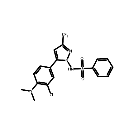 CN(C)c1ccc(-c2cc(C(F)(F)F)nn2NS(=O)(=O)c2ccccc2)cc1Cl